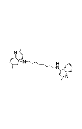 Cc1ccc2nc(C)cc(NCCCCCCCCNc3cc(C)nc4ccccc34)c2c1